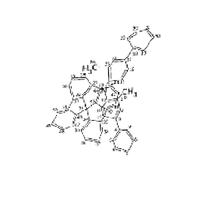 Cc1cc(-c2ccccc2)ccc1N(c1ccc(-c2ccccc2)cc1C)c1cccc2c1C1(c3ccccc3-c3ccccc31)c1ccccc1-2